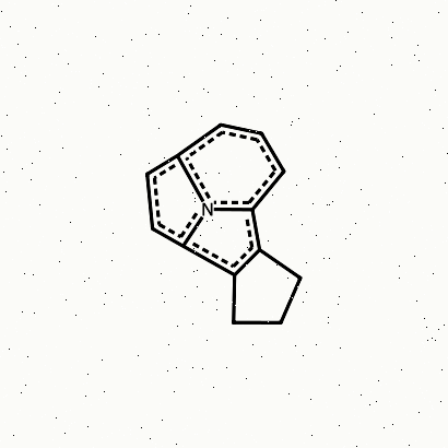 c1cc2ccc3c4c(c(c1)n23)CCC4